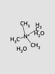 C[N+](C)(C)C.O.O